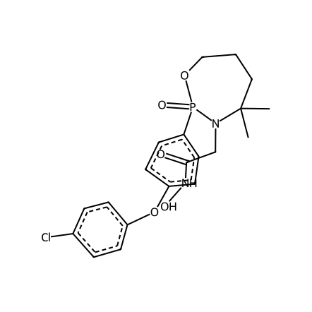 CC1(C)CCCOP(=O)(c2ccc(Oc3ccc(Cl)cc3)cc2)N1CC(=O)NO